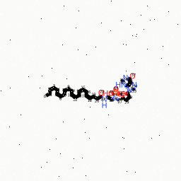 CC/C=C\C/C=C\C/C=C\C/C=C\C/C=C\C/C=C\CCC(=O)NCCN(C[C@@H]1CC[C@H](n2cnc3c(=O)nc[nH]c32)O1)P(=O)(O)O